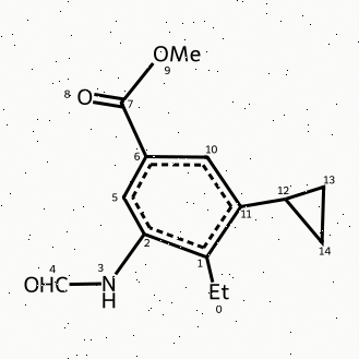 CCc1c(NC=O)cc(C(=O)OC)cc1C1CC1